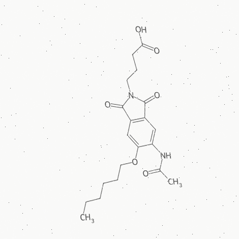 CCCCCCOc1cc2c(cc1NC(C)=O)C(=O)N(CCCC(=O)O)C2=O